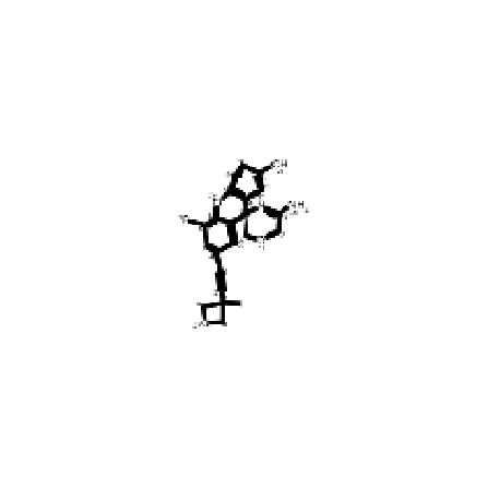 CC1(C#Cc2cc(F)c3c(c2)[C@]2(COCC(N)=N2)c2cc(O)ccc2O3)COC1